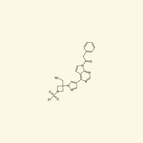 CCS(=O)(=O)N1CC(CC#N)(n2cc(-c3ncnc4c3ccn4C(=O)Cc3ccccc3)cn2)C1